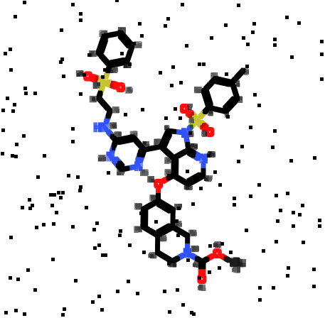 Cc1ccc(S(=O)(=O)n2cc(-c3cc(NCCS(=O)(=O)c4ccccc4)ncn3)c3c(Oc4ccc5c(c4)CN(C(=O)OC(C)(C)C)CC5)ccnc32)cc1